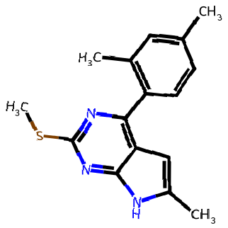 CSc1nc(-c2ccc(C)cc2C)c2cc(C)[nH]c2n1